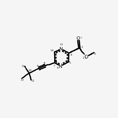 COC(=O)c1cnc(C#CC(C)(C)C)cn1